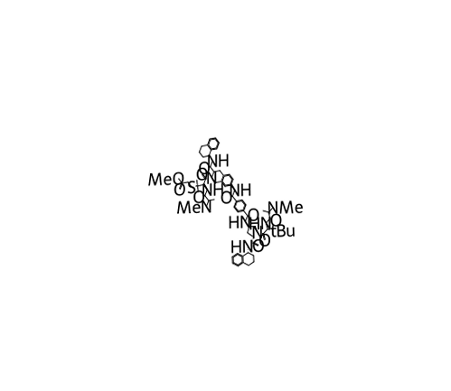 CNC(C)C(=O)NC(C(=O)N1C[C@@H](NC(=O)c2ccc(C(=O)Nc3ccc4c(c3)CN(C(=O)C(NC(=O)C(C)NC)C(C)(C)SCC(=O)OC)C(C(=O)N[C@@H]3CCCc5ccccc53)C4)cc2)C[C@H]1C(=O)N[C@@H]1CCCc2ccccc21)C(C)(C)C